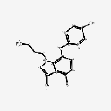 FC(F)(F)CCCn1nc(Br)c2c(Br)ccc(Oc3ncc(Cl)cn3)c21